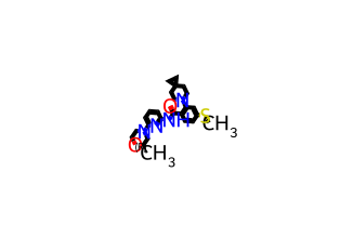 CSc1ccc(C(=O)Nc2cccc(N3CCO[C@H](C)C3)n2)c(N2CCC3(CC2)CC3)c1